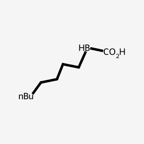 CCCCCCCCBC(=O)O